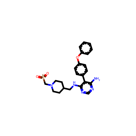 Nc1ncnc(NCC2CCN(C[SH](=O)=O)CC2)c1-c1ccc(Oc2ccccc2)cc1